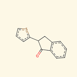 O=C1c2ccccc2CC1c1cccs1